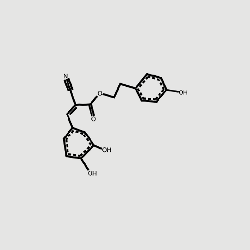 N#CC(=Cc1ccc(O)c(O)c1)C(=O)OCCc1ccc(O)cc1